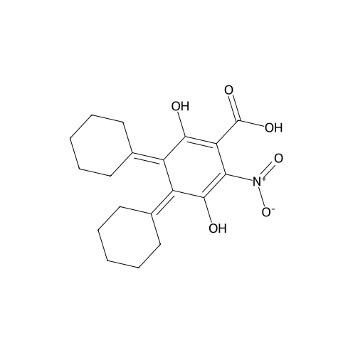 O=C(O)c1c([N+](=O)[O-])c(O)c(=C2CCCCC2)c(=C2CCCCC2)c1O